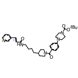 CC(C)(C)OC(=O)N1CCN(c2ccc(C(=O)N3CCC(CCCCNC(=O)/C=C/c4cccnc4)CC3)cc2)CC1